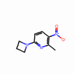 Cc1nc(N2CCC2)ccc1[N+](=O)[O-]